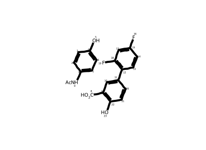 CC(=O)Nc1ccc(O)cc1.O=C(O)c1cc(-c2ccc(F)cc2F)ccc1O